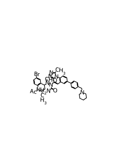 CC(=O)N1c2ccc(Br)cc2C(N(C=O)N(C(N)=O)c2cc3cc(-c4ccc(CN5CCCCC5)cc4)ccc3n3c(C)nnc23)CC1C